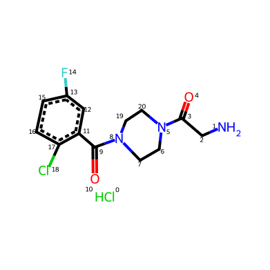 Cl.NCC(=O)N1CCN(C(=O)c2cc(F)ccc2Cl)CC1